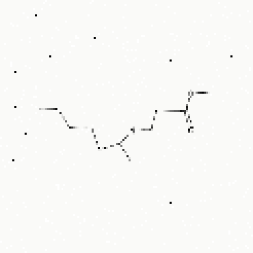 CCCCCC(C)NCCC(=O)OC